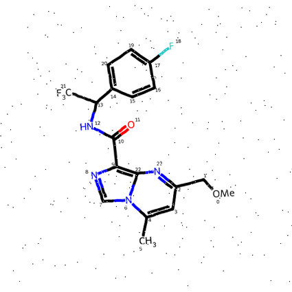 COCc1cc(C)n2cnc(C(=O)NC(c3ccc(F)cc3)C(F)(F)F)c2n1